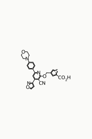 N#Cc1c(-c2ccon2)cc(-c2ccc(N3CCOCC3)cc2)nc1OCc1csc(C(=O)O)c1